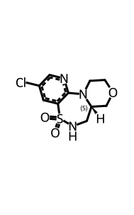 O=S1(=O)NC[C@H]2COCCN2c2ncc(Cl)cc21